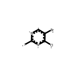 Clc1nc(I)ncc1Br